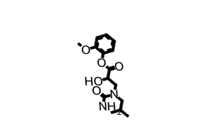 COc1ccccc1OC(=O)C(O)CN(CC(C)C)C(N)=O